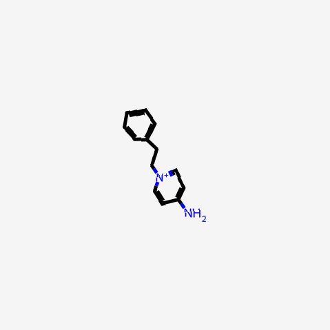 Nc1cc[n+](CCc2ccccc2)cc1